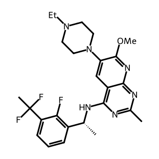 CCN1CCN(c2cc3c(N[C@H](C)c4cccc(C(C)(F)F)c4F)nc(C)nc3nc2OC)CC1